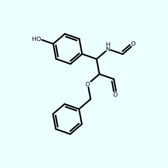 O=CNC(c1ccc(O)cc1)C(C=O)OCc1ccccc1